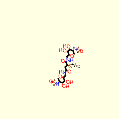 CC(=O)CSC(CC(=O)NCC1OC[C@H](N=S(C)(C)=O)[C@@H](O)[C@H]1O)C(=O)NCC1OC[C@H](N=S(C)(C)=O)[C@@H](O)[C@H]1O